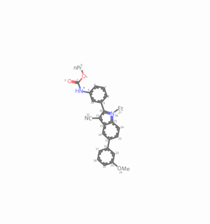 CCCOC(=O)Nc1cccc(-c2c(C#N)c3cc(-c4cccc(OC)c4)ccc3n2CC)c1